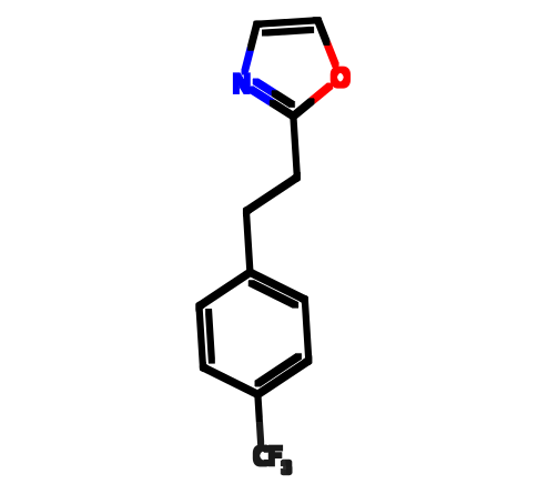 FC(F)(F)c1ccc(CCc2ncco2)cc1